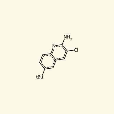 CC(C)(C)c1ccc2nc(N)c(Cl)cc2c1